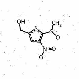 C[S+]([O-])c1sc(CO)cc1[N+](=O)[O-]